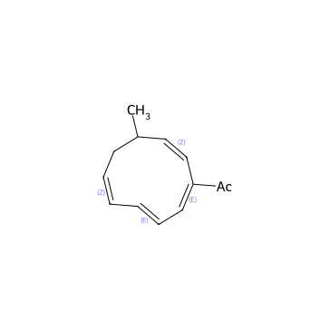 CC(=O)C1=C/C=C/C=C\CC(C)/C=C\1